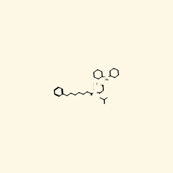 CC(C)C[C@H](CC(=O)ON(C1CCCCC1)C1CCCCC1)NC(=O)CCCCCCc1ccccc1